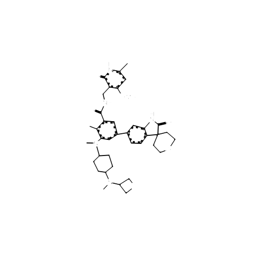 CCN(c1cc(-c2ccc3c(c2)NC(=O)C32CCOCC2)cc(C(=O)NCc2c(OC)cc(C)[nH]c2=O)c1C)C1CCC(N(C)C2COC2)CC1